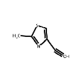 C#Cc1csc(C)n1